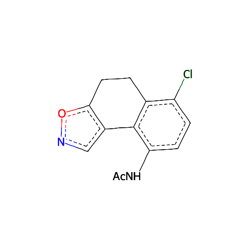 CC(=O)Nc1ccc(Cl)c2c1-c1cnoc1CC2